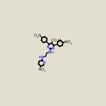 O=C(O)c1c(-c2ccc([N+](=O)[O-])cc2)nc(NCCNc2ccc([N+](=O)[O-])cn2)nc1-c1ccc([N+](=O)[O-])cc1